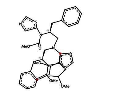 COC(=O)N(c1cncs1)[C@@H](Cc1ccccc1)CN(CC1CC(OC)OC1OC)C[C@H](Cc1ccccc1)N(C(=O)OC)c1cncs1